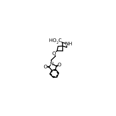 O=C(O)C1NCC12CC(OCCN1C(=O)c3ccccc3C1=O)C2